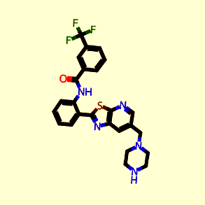 O=C(Nc1ccccc1-c1nc2cc(CN3CCNCC3)cnc2s1)c1cccc(C(F)(F)F)c1